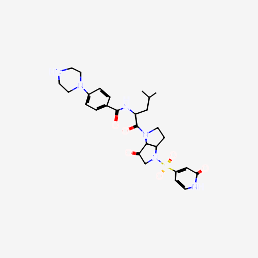 CC(C)CC(NC(=O)c1ccc(N2CCNCC2)cc1)C(=O)N1CCC2C1C(=O)CN2S(=O)(=O)c1cc[nH]c(=O)c1